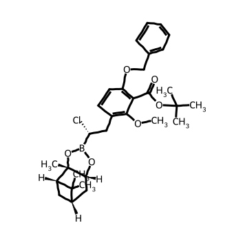 COc1c(C[C@@H](Cl)B2O[C@@H]3C[C@@H]4C[C@@H](C4(C)C)[C@]3(C)O2)ccc(OCc2ccccc2)c1C(=O)OC(C)(C)C